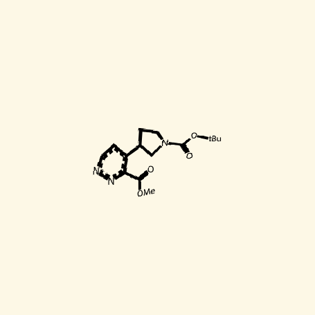 COC(=O)c1nnccc1C1CCN(C(=O)OC(C)(C)C)C1